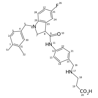 Cc1ccc(CN2CC(C(=O)Nc3ccc(CNCCC(=O)O)cc3)c3cc(F)ccc32)cc1C